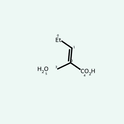 CCC=C(C)C(=O)O.O